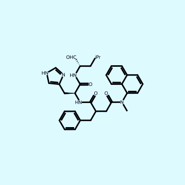 CC(C)C[C@@H](C=O)NC(=O)[C@H](Cc1c[nH]cn1)NC(=O)C(CC(=O)N(C)c1cccc2ccccc12)Cc1ccccc1